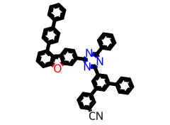 N#Cc1cccc(-c2cc(-c3ccccc3)cc(-c3nc(-c4ccccc4)nc(-c4ccc5c(c4)oc4cccc(-c6ccc(-c7ccccc7)cc6)c45)n3)c2)c1